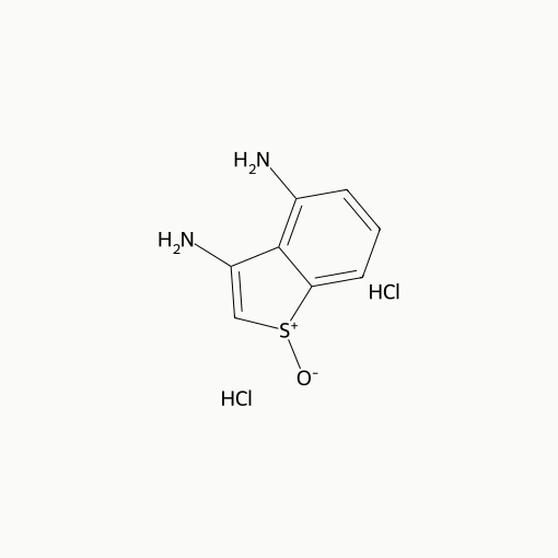 Cl.Cl.Nc1cccc2c1c(N)c[s+]2[O-]